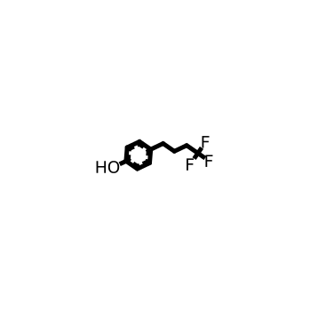 Oc1ccc(CCCC(F)(F)F)cc1